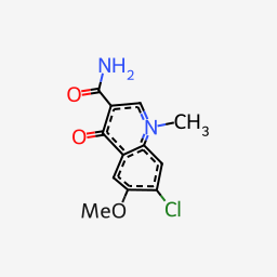 COc1cc2c(=O)c(C(N)=O)cn(C)c2cc1Cl